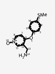 CSc1ccc(Oc2cc[n+]([O-])cc2CN)cc1